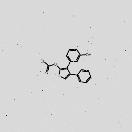 CCC(=O)Oc1occ(-c2ccccc2)c1-c1cccc(O)c1